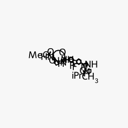 COC(=O)N[C@H]1CCCCOCc2[nH]c(nc2-c2ccc3c(c2)C(F)(F)c2cc(-c4c[nH]c([C@@H]5CCCN5C(=O)[C@@H](C)C(C)C)n4)ccc2-3)[C@@H]2CCCN2C1=O